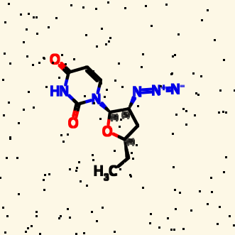 CC[C@@H]1C[C@H](N=[N+]=[N-])[C@H](n2ccc(=O)[nH]c2=O)O1